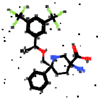 C[C@@H](OC[C@@]1(c2ccccc2)CC[C@@](N)(C(=O)O)CN1)c1cc(C(F)(F)F)cc(C(F)(F)F)c1